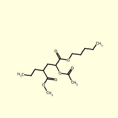 CCCCCOC(=O)C(CC(CCC)C(=O)OC)OC(C)=O